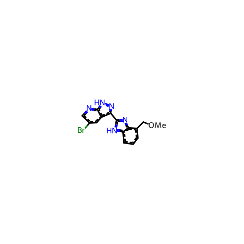 COCc1cccc2[nH]c(-c3n[nH]c4ncc(Br)cc34)nc12